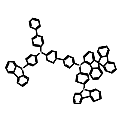 C1=C(c2ccc(N(c3ccc(-n4c5ccccc5c5ccccc54)cc3)c3cccc4c3-c3ccccc3C43c4ccccc4-c4ccccc43)cc2)CCC(N(c2ccc(-c3ccccc3)cc2)c2ccc(-n3c4ccccc4c4ccccc43)cc2)=C1